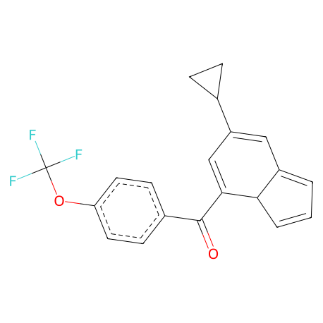 O=C(C1=CC(C2CC2)=CC2=CC=CC21)c1ccc(OC(F)(F)F)cc1